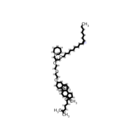 CCCCCC/C=C\CCCCCCCCOCC(CN1CCCCCC1)OCCOCCOC1CC[C@@]2(C)C(=CCC3C4CCC(C)(CCCCC(C)C)C4(C)CC[C@@H]32)C1